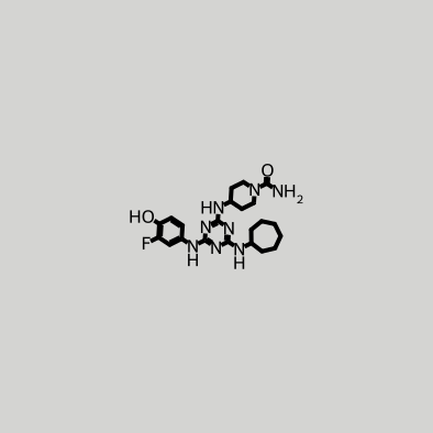 NC(=O)N1CCC(Nc2nc(Nc3ccc(O)c(F)c3)nc(NC3CCCCCC3)n2)CC1